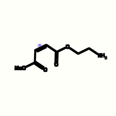 COC(=O)/C=C\C(=O)OCCN